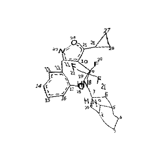 NC1C2CCC1CC(NCc1c(-c3ccccc3OC(F)(F)F)noc1C1CC1)C2